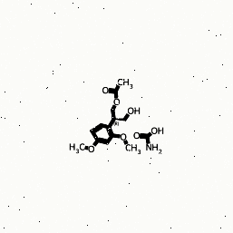 COc1ccc([C@H](CO)COC(C)=O)c(OC)c1.NC(=O)O